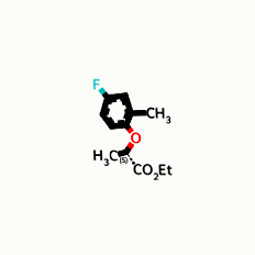 CCOC(=O)[C@H](C)Oc1ccc(F)cc1C